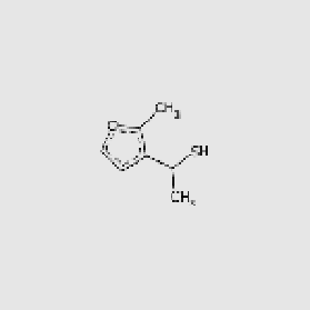 Cc1occc1C(C)S